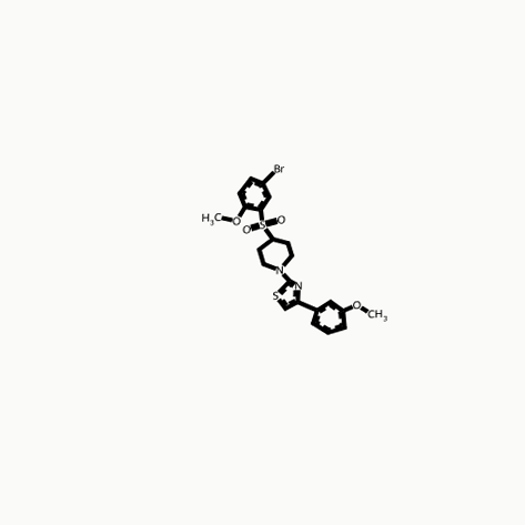 COc1cccc(-c2csc(N3CCC(S(=O)(=O)c4cc(Br)ccc4OC)CC3)n2)c1